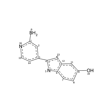 Bc1cc(-c2nc3ccc(O)cc3s2)ccn1